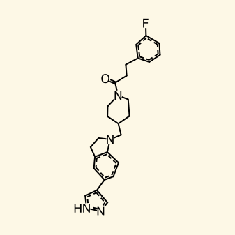 O=C(CCc1cccc(F)c1)N1CCC(CN2CCc3cc(-c4cn[nH]c4)ccc32)CC1